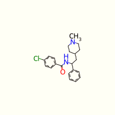 CN1CCC(CC(NC(=O)c2ccc(Cl)cc2)c2ccccc2)CC1